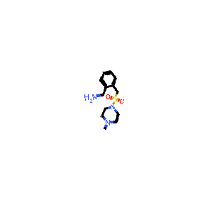 CN1CCN(S(=O)(=O)Cc2ccccc2CN)CC1